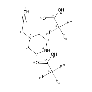 C#CCN1CCNCC1.O=C(O)C(F)(F)F.O=C(O)C(F)(F)F